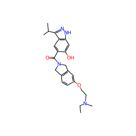 CCN(C)CCOc1ccc2c(c1)CN(C(=O)c1cc3c(C(C)C)n[nH]c3cc1O)C2